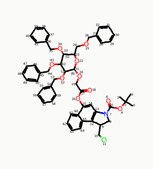 CC(C)(C)OC(=O)N1CC(CCl)c2c1cc(OC(=O)CO[C@@H]1OC(COCc3ccccc3)[C@H](OCc3ccccc3)C(OCc3ccccc3)C1OCc1ccccc1)c1ccccc21